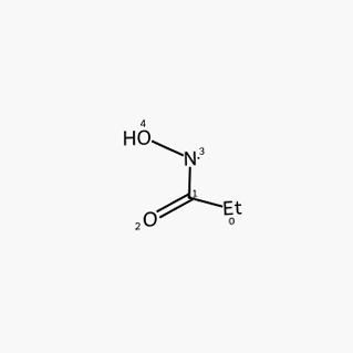 CCC(=O)[N]O